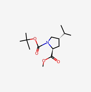 COC(=O)[C@@H]1C[C@@H](C(C)C)CN1C(=O)OC(C)(C)C